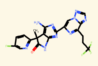 CC1(c2ccc(F)cn2)C(=O)Nc2nc(-c3cn4ncnc4c(CCC(F)(F)F)n3)nc(N)c21